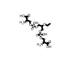 CCOC(COP(=O)(O)OCC(N)C(=O)O)COP(=O)(O)OCC(N)C(=O)O